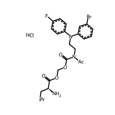 CC(=O)N(CCN(c1ccc(F)cc1)c1cccc(Br)c1)C(=O)OCOC(=O)[C@@H](N)CC(C)C.Cl